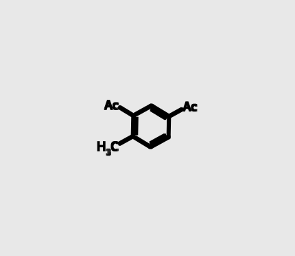 CC(=O)c1ccc(C)c(C(C)=O)c1